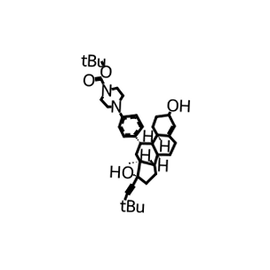 CC(C)(C)C#C[C@]1(O)CC[C@H]2[C@@H]3CCC4=CC(O)CC[C@@H]4[C@H]3[C@@H](c3ccc(N4CCN(C(=O)OC(C)(C)C)CC4)cc3)C[C@@]21C